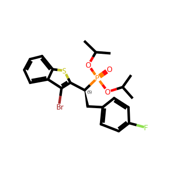 CC(C)OP(=O)(OC(C)C)[C@@H](Cc1ccc(F)cc1)c1sc2ccccc2c1Br